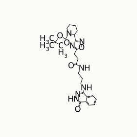 CC(C)(C)OC(=O)N1CCCCC1c1noc(CCC(=O)NCCCNc2n[nH]c(=O)c3ccccc23)n1